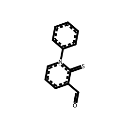 O=Cc1cccn(-c2ccccc2)c1=S